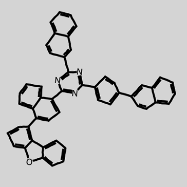 c1ccc2cc(-c3ccc(-c4nc(-c5ccc6ccccc6c5)nc(-c5ccc(-c6cccc7oc8ccccc8c67)c6ccccc56)n4)cc3)ccc2c1